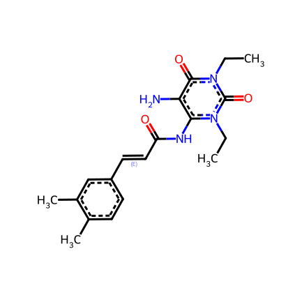 CCn1c(NC(=O)/C=C/c2ccc(C)c(C)c2)c(N)c(=O)n(CC)c1=O